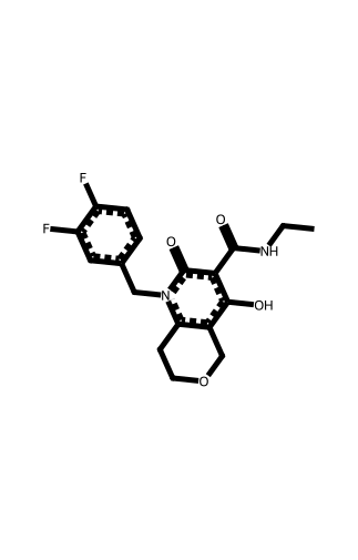 CCNC(=O)c1c(O)c2c(n(Cc3ccc(F)c(F)c3)c1=O)CCOC2